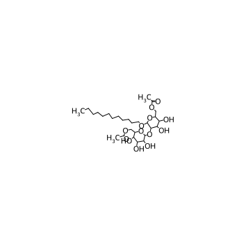 CCCCCCCCCCCCOC1OC(COC(C)=O)C(O)C(O)C1OC1OC(COC(C)=O)C(O)C(O)C1O